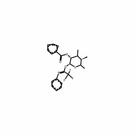 CC1O[C@@H](O/C(=N/c2ccccc2)C(F)(F)F)[C@@H](OC(=O)c2ccccc2)C(C)[C@H]1C